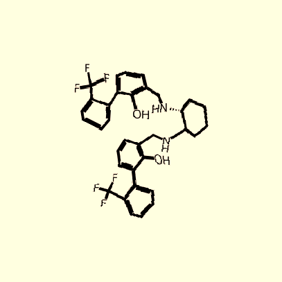 Oc1c(CNC2CCCC[C@H]2NCc2cccc(-c3ccccc3C(F)(F)F)c2O)cccc1-c1ccccc1C(F)(F)F